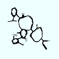 C=CC(=O)C1CCCCC(/C2=C/CCC(=O)C(c3ccccc3C(C)C)CCc3c2cc(Cl)c(-c2c(O)cccc2F)c3C)[C@@H](C)CCC1